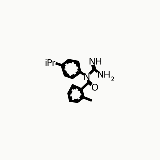 Cc1ccccc1C(=O)N(C(=N)N)c1ccc(C(C)C)cc1